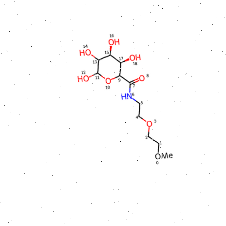 COCCOCCNC(=O)C1OC(O)C(O)[C@@H](O)[C@H]1O